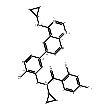 O=C(c1ccc(F)cc1F)N(Cc1cc(-c2ccc3ncnc(NC4CC4)c3c2)ccc1Cl)C1CC1